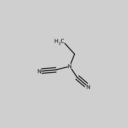 CCN(C#N)C#N